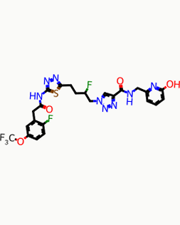 O=C(Cc1cc(OC(F)(F)F)ccc1F)Nc1nnc(CCC(F)Cn2cc(C(=O)NCc3cccc(O)n3)nn2)s1